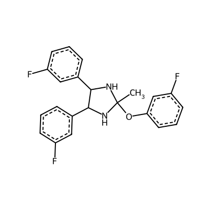 CC1(Oc2cccc(F)c2)NC(c2cccc(F)c2)C(c2cccc(F)c2)N1